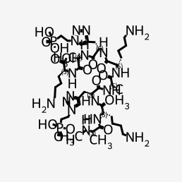 CN[C@@H](C)C(=O)N[C@@H](CCCCN)C(=O)N[C@@H](Cc1cn(CCP(=O)(O)O)nn1)C(=O)N[C@@H](C)C(=O)N[C@@H](CCCCN)C(=O)N[C@@H](Cc1cn(CCP(=O)(O)O)nn1)C(=O)N[C@@H](C)C(=O)N[C@@H](CCCCN)C(=O)O